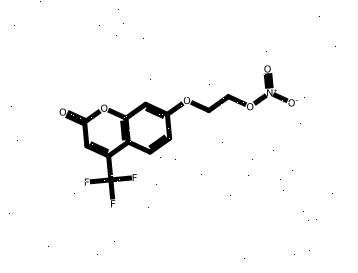 O=c1cc(C(F)(F)F)c2ccc(OCCO[N+](=O)[O-])cc2o1